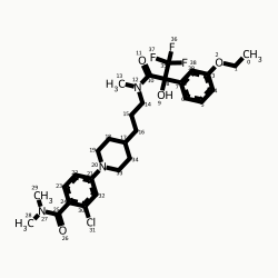 CCOc1cccc(C(O)(C(=O)N(C)CCCC2CCN(c3ccc(C(=O)N(C)C)c(Cl)c3)CC2)C(F)(F)F)c1